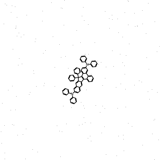 c1ccc(N(c2ccccc2)c2ccc3cc4c(cc3c2)C(c2ccccc2)(c2ccccc2)c2c-4c3ccccc3c3cc(N(c4ccccc4)c4ccccc4)ccc23)cc1